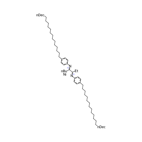 CCCCCCCCCCCCCCCCCCCCCCCCc1ccc(/N=C(CC)/C(CCCC)=N/c2ccc(CCCCCCCCCCCCCCCCCCCCCCCC)cc2)cc1.[Ni]